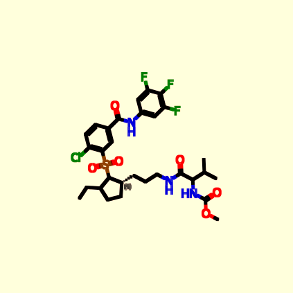 CCC1CC[C@@H](CCCNC(=O)C(NC(=O)OC)C(C)C)C1S(=O)(=O)c1cc(C(=O)Nc2cc(F)c(F)c(F)c2)ccc1Cl